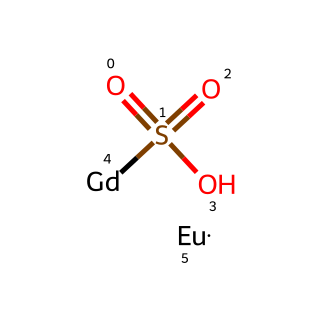 O=[S](=O)(O)[Gd].[Eu]